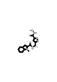 C[C@H](NC(=O)c1cc2ccccc2n1C)c1cc(C(=O)NO)on1